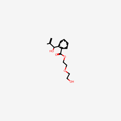 C=C(C)C(O)c1ccccc1C(=O)OCCOCCO